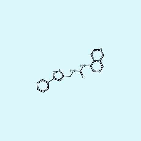 O=C(NCc1cc(-c2ccccc2)on1)Nc1cccc2cnccc12